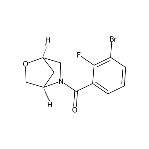 O=C(c1cccc(Br)c1F)N1C[C@H]2C[C@@H]1CO2